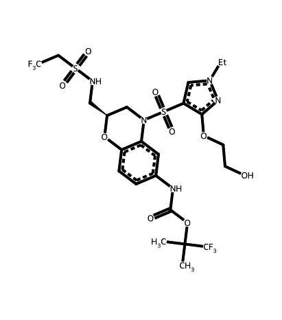 CCn1cc(S(=O)(=O)N2C[C@H](CNS(=O)(=O)CC(F)(F)F)Oc3ccc(NC(=O)OC(C)(C)C(F)(F)F)cc32)c(OCCO)n1